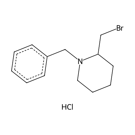 BrCC1CCCCN1Cc1ccccc1.Cl